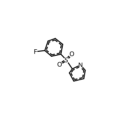 O=S(=O)(c1cccc(F)c1)c1ccccn1